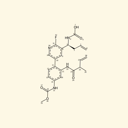 C=CC[C@H](NC(=O)O)c1cc(-c2ccc(NC(=O)OC)cc2NC(=O)C(C)C=C)cnc1F